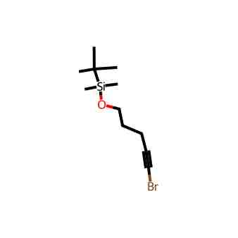 CC(C)(C)[Si](C)(C)OCCCC#CBr